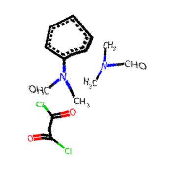 CN(C)C=O.CN(C=O)c1ccccc1.O=C(Cl)C(=O)Cl